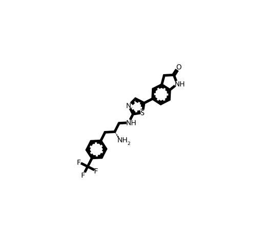 N[C@@H](CNc1ncc(-c2ccc3c(c2)CC(=O)N3)s1)Cc1ccc(C(F)(F)F)cc1